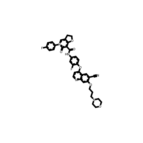 N#Cc1cc2c(Oc3ccc(NC(=O)c4c5c(cn(-c6ccc(F)cc6)c4=O)CCO5)cc3F)ccnc2cc1OCCCN1CCOCC1